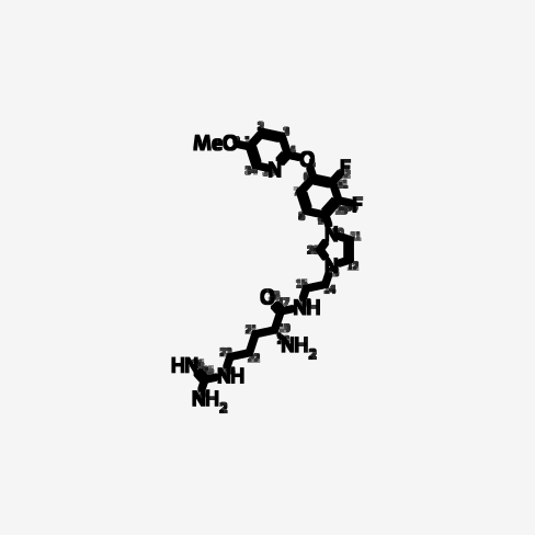 COc1ccc(Oc2ccc(N3C=CN(CCNC(=O)[C@H](N)CCCNC(=N)N)C3)c(F)c2F)nc1